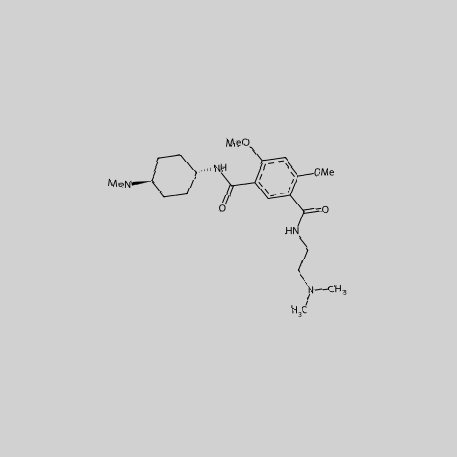 CN[C@H]1CC[C@H](NC(=O)c2cc(C(=O)NCCN(C)C)c(OC)cc2OC)CC1